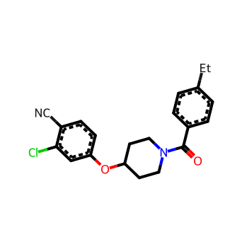 CCc1ccc(C(=O)N2CCC(Oc3ccc(C#N)c(Cl)c3)CC2)cc1